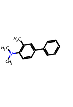 Cc1cc(-c2ccccc2)ccc1N(C)C